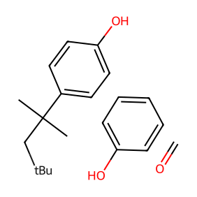 C=O.CC(C)(C)CC(C)(C)c1ccc(O)cc1.Oc1ccccc1